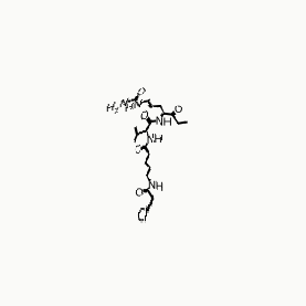 CCC(=O)[C@H](CCCNC(N)=O)NC(=O)[C@@H](NC(=O)CCCCNC(=O)CCl)C(C)C